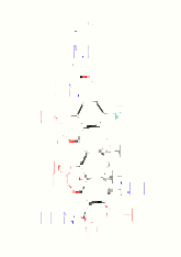 CC(C)CNCC(=O)Nc1cc(F)c2c(c1O)C(=O)C1=C(O)[C@]3(O)C(=O)C(C(N)=O)=C(O)[C@@H](N)[C@@H]3C[C@@H]1C2